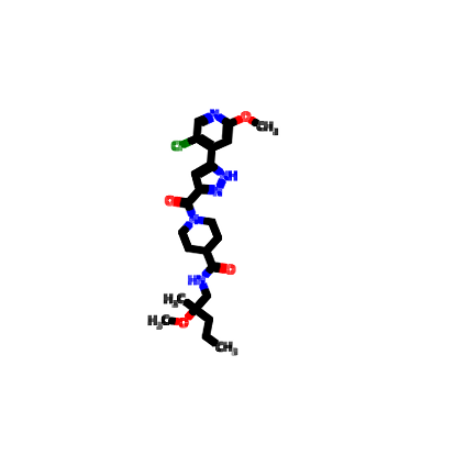 CCCC(C)(CNC(=O)C1CCN(C(=O)c2cc(-c3cc(OC)ncc3Cl)[nH]n2)CC1)OC